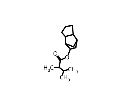 CC(C)C(C)C(=O)OC1CC2CC1C1CCCC21